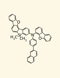 C[Si]1(C)c2cc(N(c3ccc(-c4ccc5ccccc5c4)cc3)c3cccc4c3oc3ccccc34)ccc2-c2c1ccc1c2oc2ccccc21